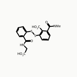 CNC(=O)c1cccc(SSc2ccccc2C(=O)NCC(=O)O)c1C(=O)O